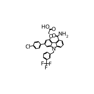 NC(=O)c1cccc2c1c1c(OCC(=O)O)cc(-c3ccc(Cl)cc3)cc1n2Cc1cccc(C(F)(F)F)c1